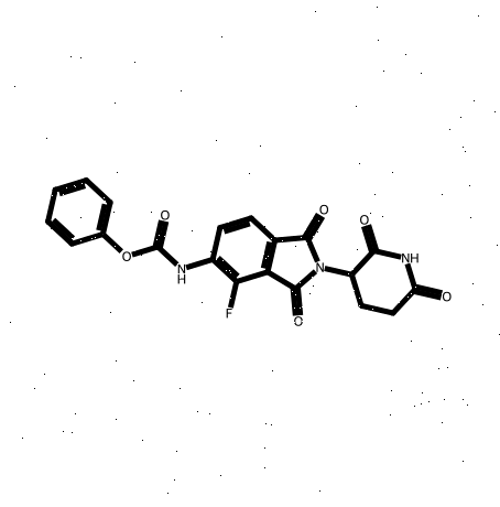 O=C1CCC(N2C(=O)c3ccc(NC(=O)Oc4ccccc4)c(F)c3C2=O)C(=O)N1